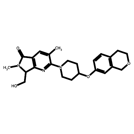 Cc1cc2c(nc1N1CCC(Oc3ccc4c(c3)COCC4)CC1)C(CO)N(C)C2=O